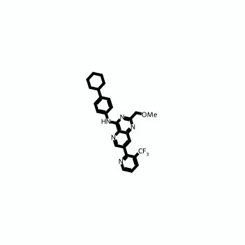 COCc1nc(Nc2ccc(C3CCCCC3)cc2)c2ncc(-c3ncccc3C(F)(F)F)cc2n1